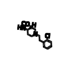 O=C(O)NC1CCN(CCc2ccccc2Cl)CC1